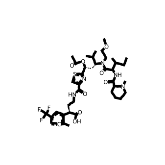 CCC(C)C(NC(=O)C1CCCCN1C)C(=O)N(CCOC)[C@H](C[C@@H](OC(C)=O)c1nc(C(=O)NCC[C@@H](C(=O)O)c2cc(C(F)(F)F)ccc2C)cs1)C(C)C